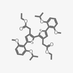 CCOC(=O)Cc1cc(-c2c(OC)cccc2OC(C)C)sc1-c1sc(-c2c(OC)cccc2OC(C)C)cc1CC(=O)OCC